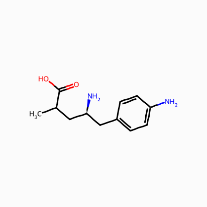 CC(C[C@@H](N)Cc1ccc(N)cc1)C(=O)O